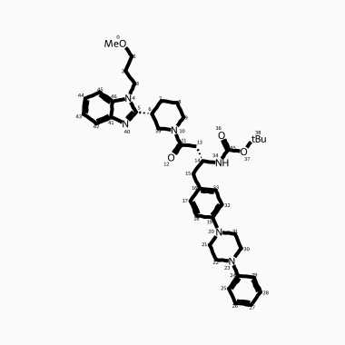 COCCCn1c([C@@H]2CCCN(C(=O)C[C@@H](Cc3ccc(N4CCN(c5ccccc5)CC4)cc3)NC(=O)OC(C)(C)C)C2)nc2ccccc21